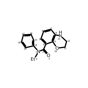 CCN(C(=O)c1cccc2c1OCCN2)c1ccccc1